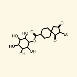 CCC1C(=O)CC2(CCC(C(=O)OC3C(O)C(O)C(O)C(O)C3O)CC2)C1=O